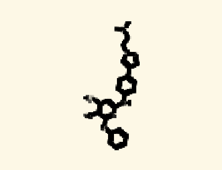 CN(C)CCn1cc(-c2ccc(Nc3cc(N)c(C#N)c(Oc4ccccc4)n3)cc2)cn1